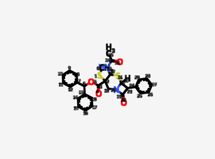 CSC1(C(=O)OC(c2ccccc2)c2ccccc2)CN2C(=O)C(c3ccccc3)[C@H]2SC1NC(C)=O